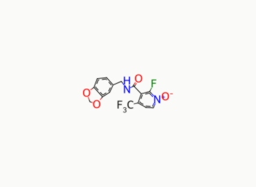 O=C(NCc1ccc2c(c1)OCO2)c1c(C(F)(F)F)cc[n+]([O-])c1F